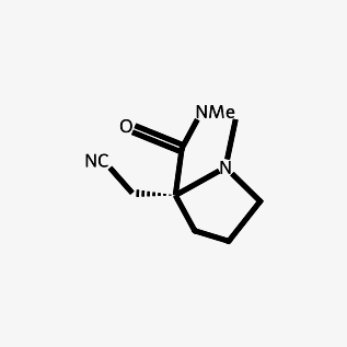 CNC(=O)[C@]1(CC#N)CCCN1C